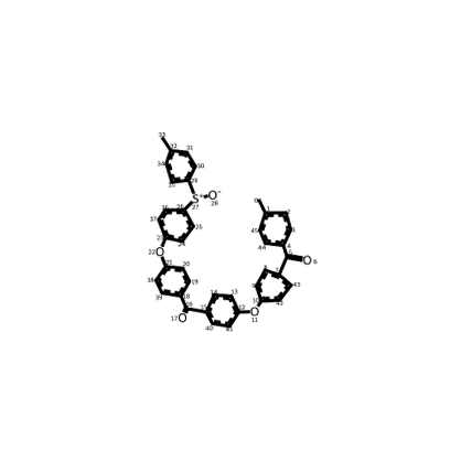 Cc1ccc(C(=O)c2ccc(Oc3ccc(C(=O)c4ccc(Oc5ccc([S+]([O-])c6ccc(C)cc6)cc5)cc4)cc3)cc2)cc1